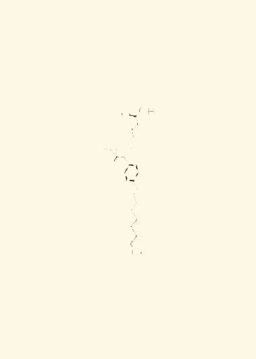 CCCCCCCCCc1ccc(C(CCCCCC(=O)O)C(=O)O)cc1